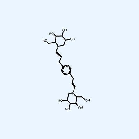 OCC1C(O)C(O)C(O)CN1C=CCc1ccc(CC=CN2CC(O)C(O)C(O)C2CO)cc1